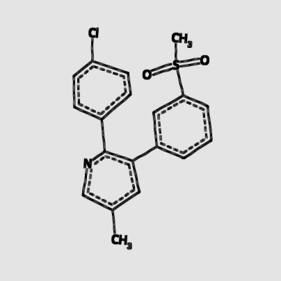 Cc1cnc(-c2ccc(Cl)cc2)c(-c2cccc(S(C)(=O)=O)c2)c1